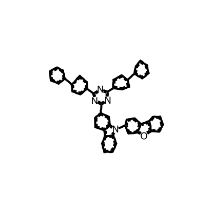 c1ccc(-c2ccc(-c3nc(-c4ccc(-c5ccccc5)cc4)nc(-c4ccc5c6ccccc6n(-c6ccc7c(c6)oc6ccccc67)c5c4)n3)cc2)cc1